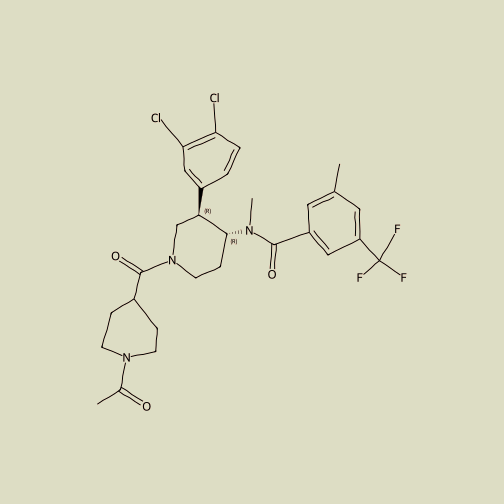 CC(=O)N1CCC(C(=O)N2CC[C@@H](N(C)C(=O)c3cc(C)cc(C(F)(F)F)c3)[C@H](c3ccc(Cl)c(Cl)c3)C2)CC1